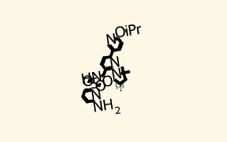 CC(C)Oc1ccc(-c2ccc(C(=O)NS(=O)(=O)c3cccc(N)n3)c(N3C[C@@H](C)CC3(C)C)n2)cn1